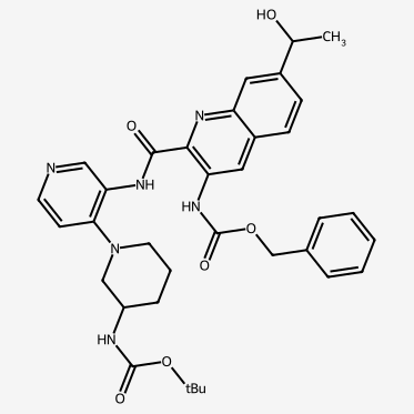 CC(O)c1ccc2cc(NC(=O)OCc3ccccc3)c(C(=O)Nc3cnccc3N3CCCC(NC(=O)OC(C)(C)C)C3)nc2c1